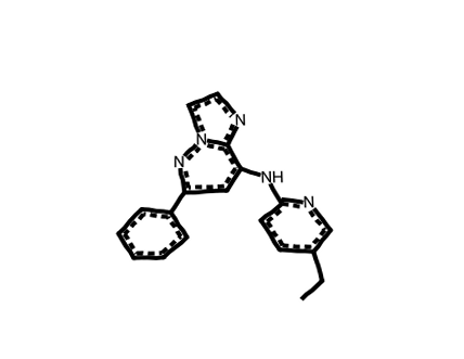 CCc1ccc(Nc2cc(-c3ccccc3)nn3ccnc23)nc1